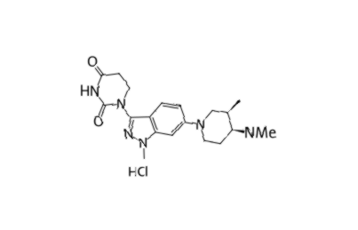 CN[C@H]1CCN(c2ccc3c(N4CCC(=O)NC4=O)nn(C)c3c2)C[C@H]1C.Cl